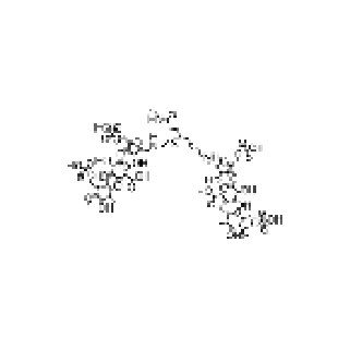 CCNC(=O)CCC(CSCCNC[C@@H]1O[C@H](COS(=O)(=O)O)[C@H](O[C@@H]2OC(C(=O)O)[C@@H](O[C@@H]3OC(COS(=O)(=O)O)[C@@H](OC)[C@H](O)C3C)[C@H](O)C2O)C1O)SCCNC[C@@H]1O[C@H](COS(=O)(=O)O)[C@H](O[C@@H]2OC(C(=O)O)[C@@H](O[C@@H]3OC(COS(=O)(=O)O)[C@@H](OC)[C@H](O)C3C)[C@H](O)C2O)C1O